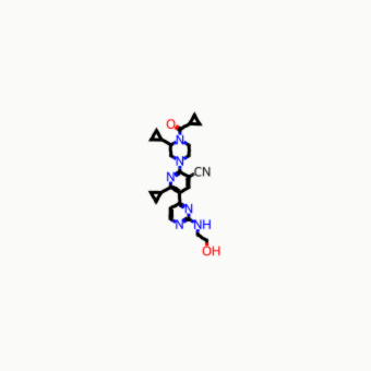 N#Cc1cc(-c2ccnc(NCCO)n2)c(C2CC2)nc1N1CCN(C(=O)C2CC2)C(C2CC2)C1